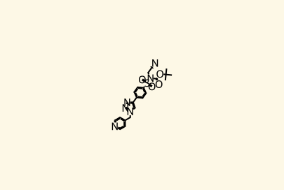 CC(C)(C)OC(=O)N(CC#N)S(=O)(=O)c1ccc(-c2cn(Cc3ccncc3)nn2)cc1